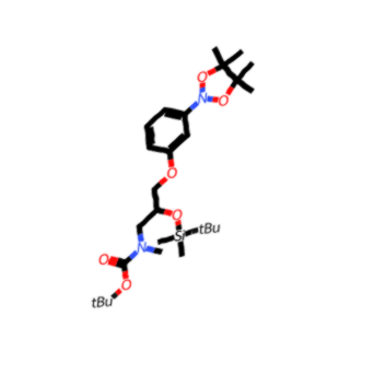 CN(CC(COc1cccc(N2OC(C)(C)C(C)(C)O2)c1)O[Si](C)(C)C(C)(C)C)C(=O)OC(C)(C)C